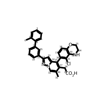 Cc1ccccc1-c1cccc(-c2cc3c(-c4ccc5c(c4Cl)NCCO5)c(CC(=O)O)c(C)cn3n2)c1